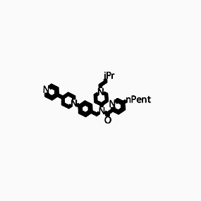 CCCCCc1ccc(C(=O)N(Cc2ccc(N3CCC(c4ccncc4)CC3)cc2)C2CCN(CCC(C)C)CC2)nc1